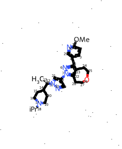 COc1ccc(-c2nn(-c3cnn([C@@H](C)C4CCN(C(C)C)CC4)c3)c3c2CCOCC3)cn1